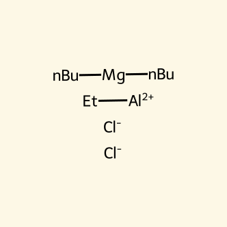 CCC[CH2][Mg][CH2]CCC.C[CH2][Al+2].[Cl-].[Cl-]